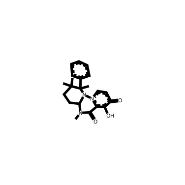 CN1C(=O)c2c(O)c(=O)ccn2N2C1CCC(C)(C)C2(C)c1ccccc1